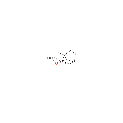 CC12CCC(C(Cl)C1=O)C2(C)CS(=O)(=O)O